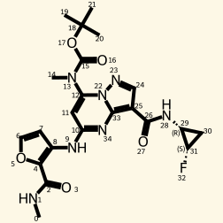 CNC(=O)c1occc1Nc1cc(N(C)C(=O)OC(C)(C)C)n2ncc(C(=O)N[C@@H]3C[C@@H]3F)c2n1